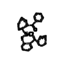 O=C(c1ccccc1)c1ccccc1SSc1ccccc1C(=O)c1ccccc1